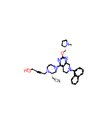 CN1CCC[C@H]1COc1nc2c(c(N3CCN(CC#CCO)[C@@H](CC#N)C3)n1)CCN(c1cccc3ccccc13)C2